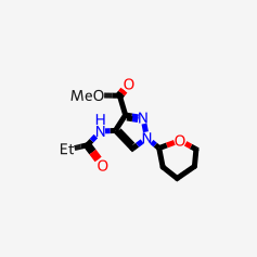 CCC(=O)Nc1cn(C2CCCCO2)nc1C(=O)OC